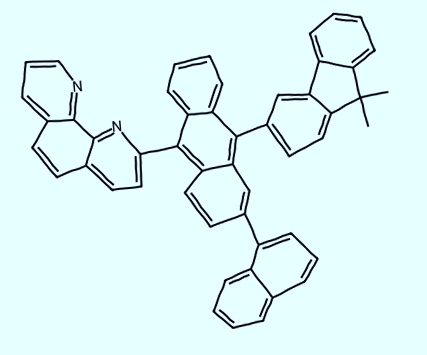 CC1(C)c2ccccc2-c2cc(-c3c4ccccc4c(-c4ccc5ccc6cccnc6c5n4)c4ccc(-c5cccc6ccccc56)cc34)ccc21